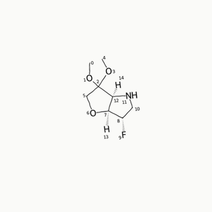 COC1(OC)CO[C@@H]2[C@@H](F)CN[C@@H]21